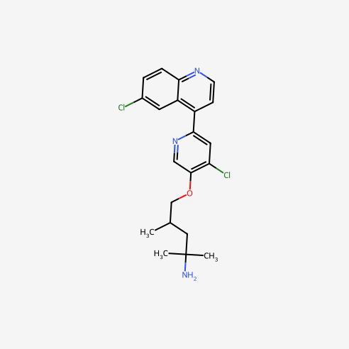 CC(COc1cnc(-c2ccnc3ccc(Cl)cc23)cc1Cl)CC(C)(C)N